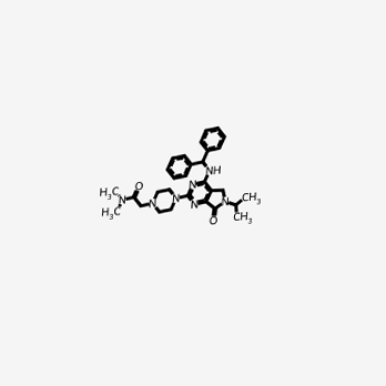 CC(C)N1Cc2c(NC(c3ccccc3)c3ccccc3)nc(N3CCN(CC(=O)N(C)C)CC3)nc2C1=O